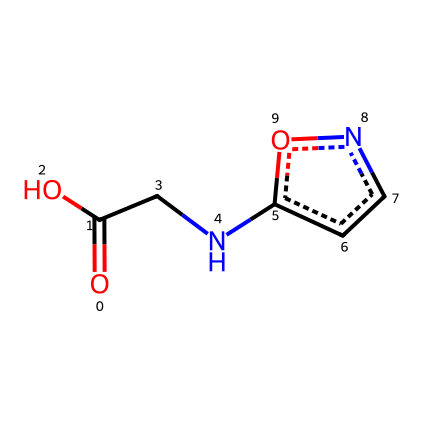 O=C(O)CNc1ccno1